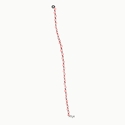 O=S(=O)(O)OCCOCCOCCOCCOCCOCCOCCOCCOCCOCCOCCOCCOCCOCCOCCOCCOCCOCCOCCOCCOCCOCCOCCOCCOCCOCCOCCOCCOCCOCCOCCOCCOCCOc1ccccc1